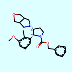 COc1cccc([C@@H]2[C@H](N3CC4COCC4C3)CCN2C(=O)OCc2ccccc2)c1C